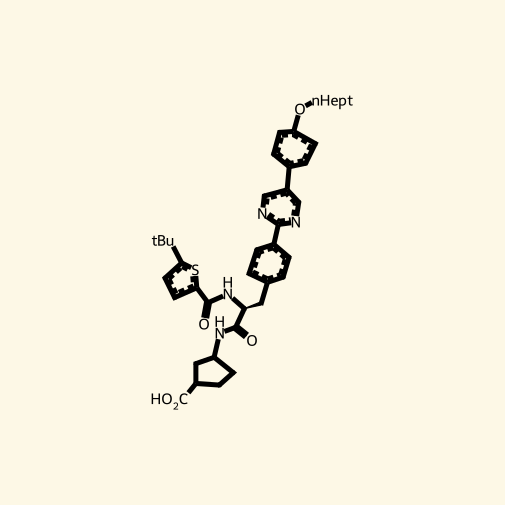 CCCCCCCOc1ccc(-c2cnc(-c3ccc(C[C@H](NC(=O)c4ccc(C(C)(C)C)s4)C(=O)NC4CCC(C(=O)O)C4)cc3)nc2)cc1